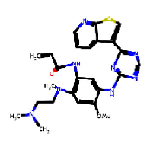 C=CC(=O)Nc1cc(Nc2ncnc(-c3csc4ncccc34)n2)c(OC)cc1N(C)CCN(C)C